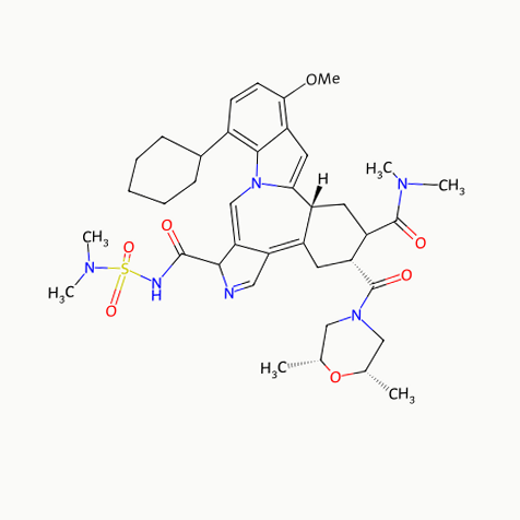 COc1ccc(C2CCCCC2)c2c1cc1n2C=C2C(=C3C[C@@H](C(=O)N4C[C@@H](C)O[C@@H](C)C4)C(C(=O)N(C)C)C[C@H]31)C=NC2C(=O)NS(=O)(=O)N(C)C